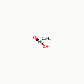 [CaH2].[O]=[Ni][OH]